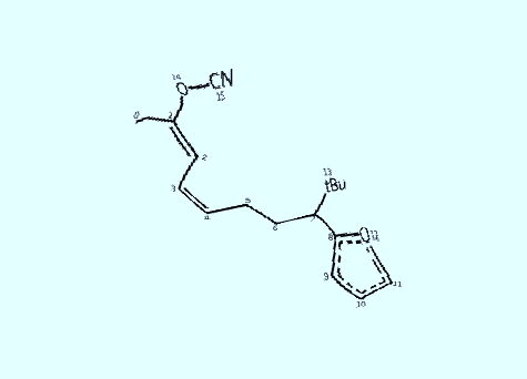 C/C(=C\C=C/CCC(c1ccco1)C(C)(C)C)OC#N